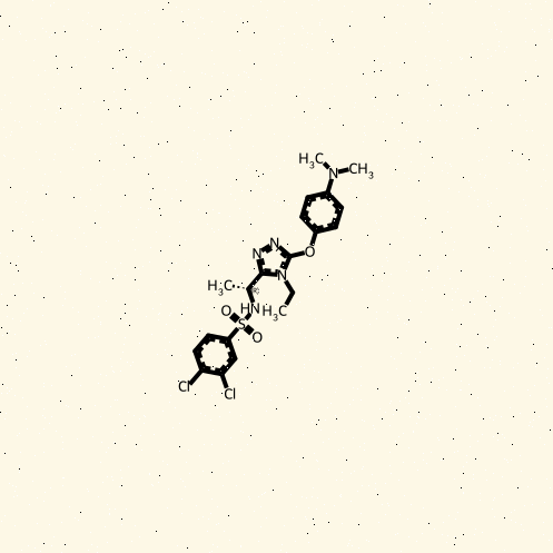 CCn1c(Oc2ccc(N(C)C)cc2)nnc1[C@@H](C)NS(=O)(=O)c1ccc(Cl)c(Cl)c1